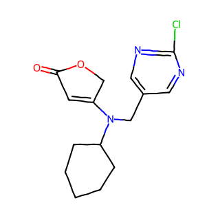 O=C1C=C(N(Cc2cnc(Cl)nc2)C2CCCCC2)CO1